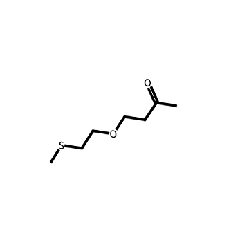 CSCCOCCC(C)=O